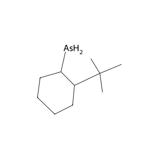 CC(C)(C)C1CCCCC1[AsH2]